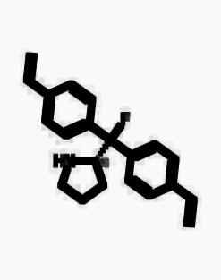 C=Cc1ccc(C(F)(c2ccc(C=C)cc2)[C@@H]2CCCN2)cc1